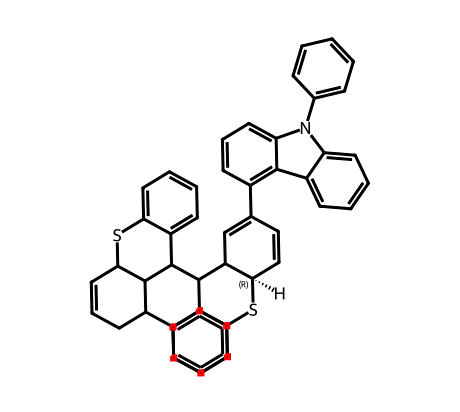 C1=CCC(C2CC=CC3Sc4ccccc4C(C4c5ccccc5S[C@@H]5C=CC(c6cccc7c6c6ccccc6n7-c6ccccc6)=CC45)C32)C=C1